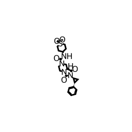 O=C(NC1CCS(=O)(=O)CC1)N1CCN2C(=O)N([C@H]3C[C@@H]3c3ccccc3)C(=O)[C@@H]2C1